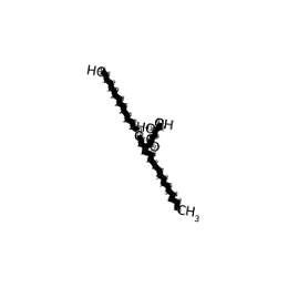 CCCCCCCCCCCCCCCCC(CCCCCCCCCCCCCCCCCCO)C(=O)OCC(O)CO